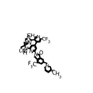 C[C@H]1CCCN(Cc2cc3c(c(C(F)(F)F)c2)CN(c2cc(-c4cc(C(F)(F)F)ncc4-c4nncn4C)cc(NC4(CC#N)CC4)n2)C3=O)C1